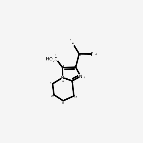 O=C(O)c1c(C(F)F)nc2n1CCCC2